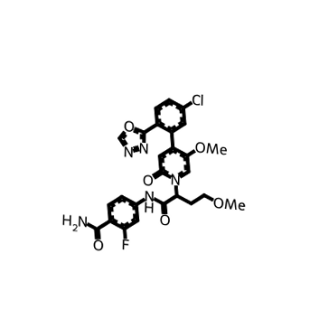 COCCC(C(=O)Nc1ccc(C(N)=O)c(F)c1)n1cc(OC)c(-c2cc(Cl)ccc2-c2nnco2)cc1=O